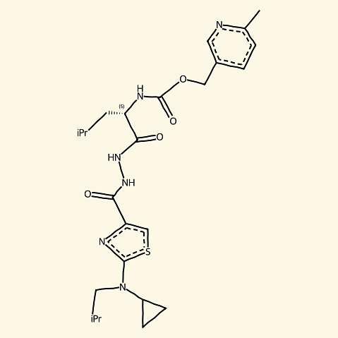 Cc1ccc(COC(=O)N[C@@H](CC(C)C)C(=O)NNC(=O)c2csc(N(CC(C)C)C3CC3)n2)cn1